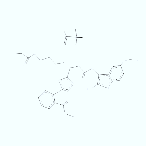 CCC(=O)CCCCC[C@H](NC(=O)Cc1c(C)[nH]c2ccc(OC)cc12)c1ncc(-c2ccccc2C(=O)OC)[nH]1.O=C(O)C(F)(F)F